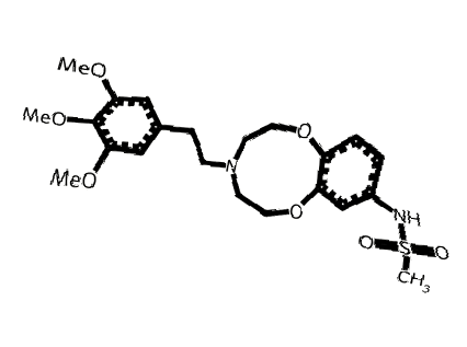 COc1cc(CCN2CCOc3ccc(NS(C)(=O)=O)cc3OCC2)cc(OC)c1OC